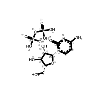 Nc1ccn([C@@H]2O[C@H](CO)[C@@H](O)[C@@H]2O)c(=O)n1.O=P(O)(O)OP(=O)(O)O